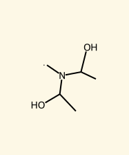 [CH2]N(C(C)O)C(C)O